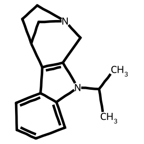 CC(C)n1c2c(c3ccccc31)C1CCN(C2)C1